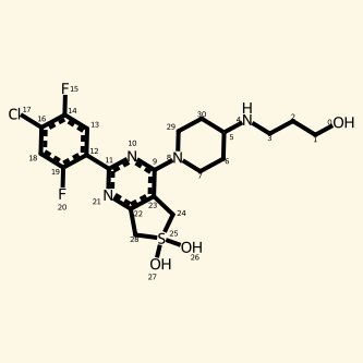 OCCCNC1CCN(c2nc(-c3cc(F)c(Cl)cc3F)nc3c2CS(O)(O)C3)CC1